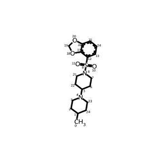 CC1CCN(C2CCN(S(=O)(=O)c3cccc4c3OCO4)CC2)CC1